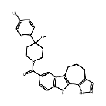 O=C(c1ccc2[nH]c3c(c2c1)CCCc1cn[nH]c1-3)N1CCC(O)(c2ccc(Cl)cc2)CC1